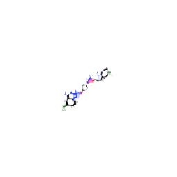 O=C(Nc1ccc2cc(Cl)ccc2n1)[C@H]1CC[C@H](c2nnc(-c3ccc4cc(Cl)ccc4n3)o2)CC1